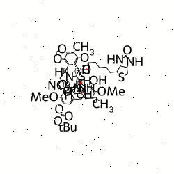 COc1cc2c(cc1OC(=O)OC(C)(C)C)CCN[C@]21CS[C@@H]2c3c(OC(=O)CCCCC4SCC5NC(=O)NC54)c(C)c4c(c3[C@H](COC1=O)N1C2[C@H]2c3c(cc(C)c(OC)c3O)C[C@@H]([C@@H]1C#N)N2C)OCO4